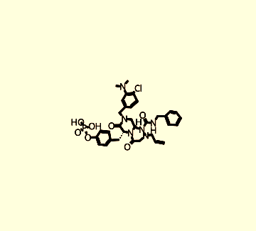 C=CCN1CC(=O)N2[C@H](Cc3ccc(OP(=O)(O)O)cc3)C(=O)N(Cc3ccc(Cl)c(N(C)C)c3)C[C@@H]2N1C(=O)NCc1ccccc1